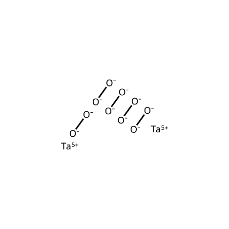 [O-][O-].[O-][O-].[O-][O-].[O-][O-].[O-][O-].[Ta+5].[Ta+5]